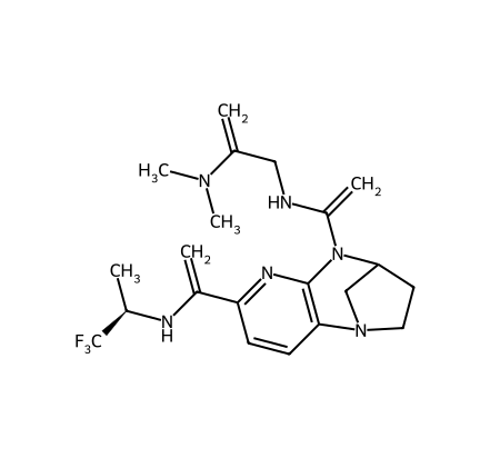 C=C(N[C@H](C)C(F)(F)F)c1ccc2c(n1)N(C(=C)NCC(=C)N(C)C)C1CCN2C1